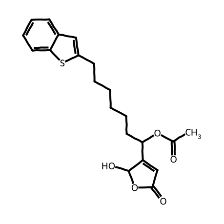 CC(=O)OC(CCCCCCc1cc2ccccc2s1)C1=CC(=O)OC1O